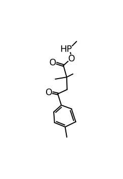 CPOC(=O)C(C)(C)CC(=O)c1ccc(C)cc1